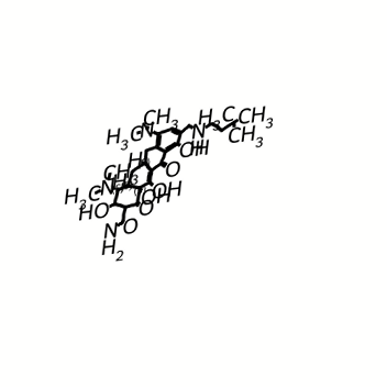 CN(C)c1cc(CNCCC(C)(C)C)c(O)c2c1C[C@H]1C[C@H]3[C@H](N(C)C)C(O)C(C(N)=O)C(=O)[C@@]3(O)C(O)=C1C2=O